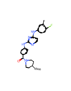 CNC1CCN(C(=O)c2ccc(Nc3nccc(Nc4ccc(F)c(C)c4)n3)cc2)CC1